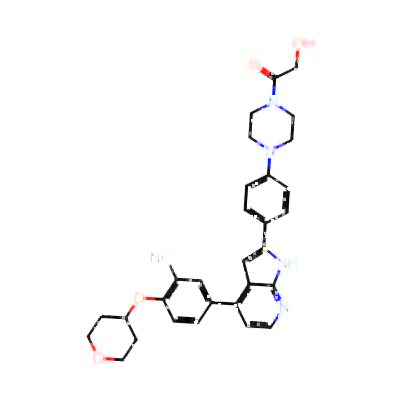 N#Cc1cc(-c2ccnc3[nH]c(-c4ccc(N5CCN(C(=O)CO)CC5)cc4)cc23)ccc1OC1CCOCC1